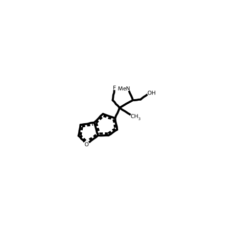 CNC(CO)C(C)(CF)c1ccc2occc2c1